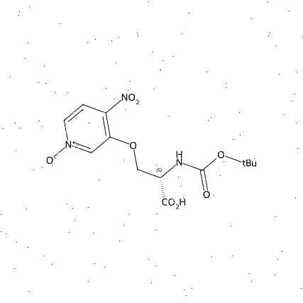 CC(C)(C)OC(=O)N[C@@H](COc1c[n+]([O-])ccc1[N+](=O)[O-])C(=O)O